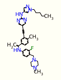 C=C(Nc1ccc(CN2CCN(C)CC2)c(F)c1)c1ccc(C)c(C#Cc2cnc(Nc3cnn(CCCCC)c3)nc2)c1